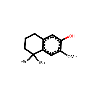 COc1cc2c(cc1O)CCCC2(C(C)(C)C)C(C)(C)C